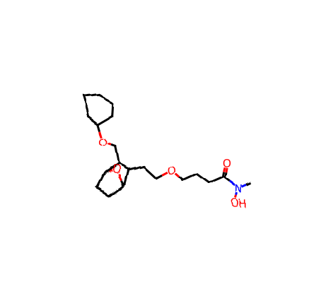 CN(O)C(=O)CCCOCCC1C2CCC(O2)C1COC1CCCCC1